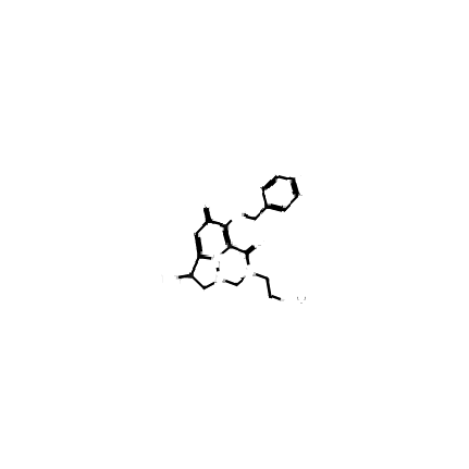 COCCN1CN2CC(O)c3cc(=O)c(OCc4ccccc4)c(n32)C1=O